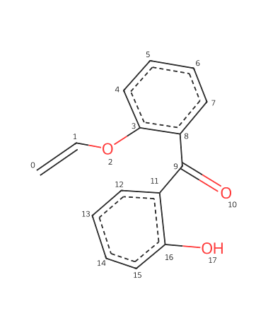 C=COc1ccccc1C(=O)c1ccccc1O